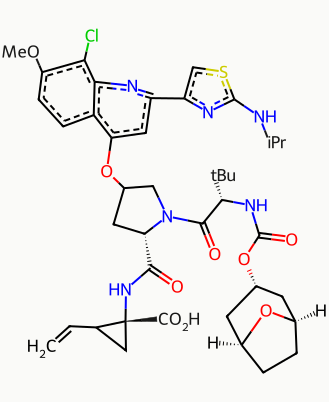 C=CC1C[C@]1(NC(=O)[C@@H]1CC(Oc2cc(-c3csc(NC(C)C)n3)nc3c(Cl)c(OC)ccc23)CN1C(=O)[C@@H](NC(=O)O[C@@H]1C[C@H]2CC[C@@H](C1)O2)C(C)(C)C)C(=O)O